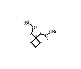 CC(C)(C)OCC1(COC(C)(C)C)CCC1